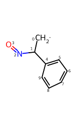 [CH2]C(N=O)c1ccccc1